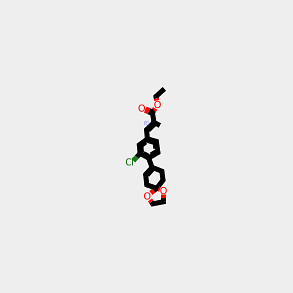 CCOC(=O)/C(C)=C/c1ccc(C2=CCC3(CC2)OCCO3)c(Cl)c1